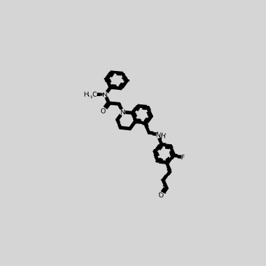 CN(C(=O)CN1CCCc2c(CNc3ccc(CCC=O)c(F)c3)cccc21)c1ccccc1